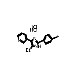 CCc1[nH]c(-c2ccc(F)cc2)nc1-c1cccnc1.Cl.Cl